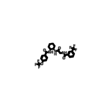 O=C(CNC(=O)c1cccc(C(F)(F)F)c1)N[C@@H]1CCCC[C@@H]1NC(=O)c1ccc(OC(F)(F)F)cc1